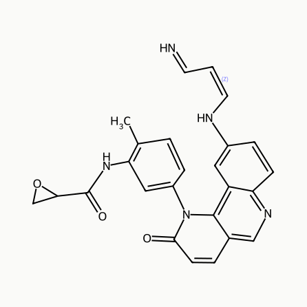 Cc1ccc(-n2c(=O)ccc3cnc4ccc(N/C=C\C=N)cc4c32)cc1NC(=O)C1CO1